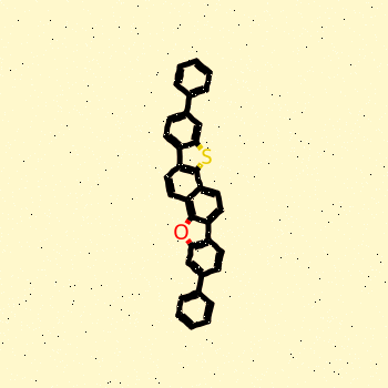 c1ccc(-c2ccc3c(c2)oc2c3ccc3c2ccc2c4ccc(-c5ccccc5)cc4sc23)cc1